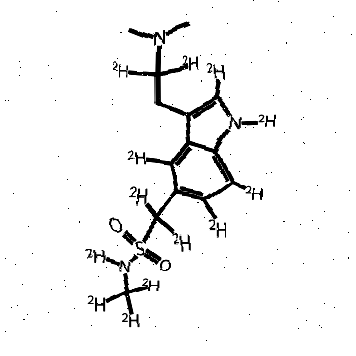 [2H]c1c(C([2H])([2H])S(=O)(=O)N([2H])C([2H])([2H])[2H])c([2H])c2c(CC([2H])([2H])N(C)C)c([2H])n([2H])c2c1[2H]